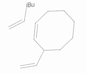 C=CC(C)CC.C=CC1C=CCCCCC1